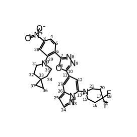 O=[N+]([O-])c1ccc(-c2nnc(-c3cc(N4CCC(F)(F)CC4)n4nccc4c3)o2)c(N2CCC3(CC2)CC3)c1